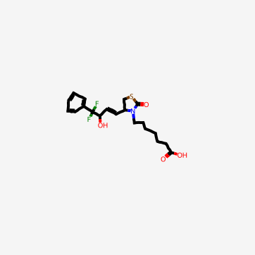 O=C(O)CCCCCCN1C(=O)SCC1C=CC(O)C(F)(F)c1ccccc1